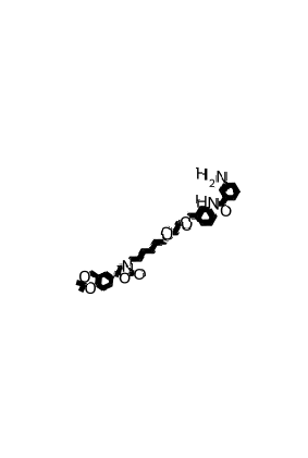 CC1(C)OCc2cc([C@@H]3CN(CCCCCCOCCOCc4cccc(NC(=O)c5cccc(N)c5)c4)C(=O)O3)ccc2O1